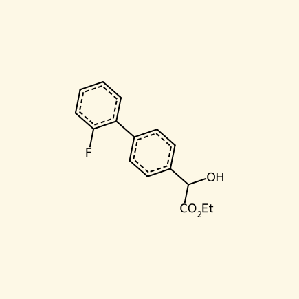 CCOC(=O)C(O)c1ccc(-c2ccccc2F)cc1